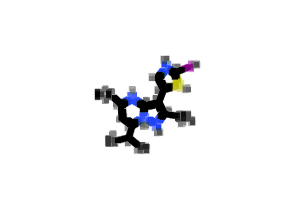 CCC(CC)c1cc(C)nc2c(-c3cnc(I)s3)c(C)nn12